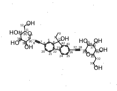 CCC1(O)c2cc(C#C[C@H]3O[C@H](CO)[C@@H](O)[C@H](O)[C@@H]3O)ccc2-c2ccc(C#C[C@H]3O[C@H](CCO)[C@@H](O)[C@H](O)[C@@H]3O)cc21